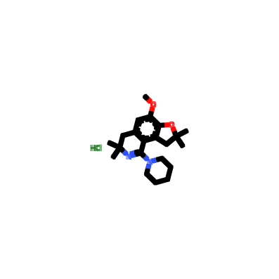 COc1cc2c(c3c1OC(C)(C)C3)C(N1CCCCC1)=NC(C)(C)C2.Cl